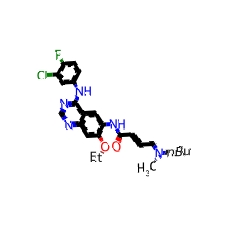 CCCCN(C)C/C=C/C(=O)Nc1cc2c(Nc3ccc(F)c(Cl)c3)ncnc2cc1OCC